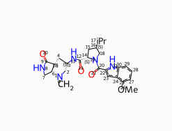 C=NC[C@H](C[C@@H]1CCNC1=O)NC(=O)[C@@H]1C[C@@H](C(C)C)CN1C(=O)c1cc2c(OC)cccc2[nH]1